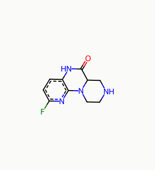 O=C1Nc2ccc(F)nc2N2CCNCC12